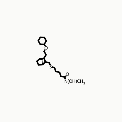 CN(O)C(=O)CCCCSCC1C2CCC(O2)C1CCOC1CCCCC1